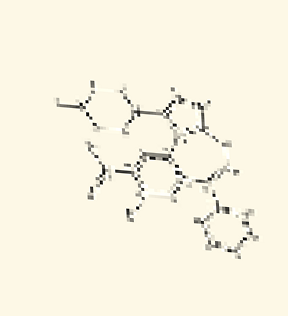 CN1CCN(c2nnc3n2-c2cc([N+](=O)[O-])c(Br)cc2C(c2ccccn2)=NC3)CC1